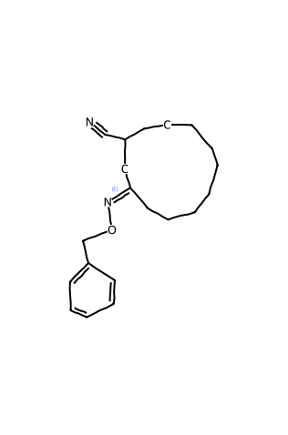 N#CC1CCCCCCCCC/C(=N\OCc2ccccc2)C1